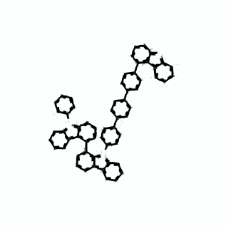 c1ccc(-n2c3ccccc3c3c(-c4cccc5c6ccccc6n(-c6ccc(-c7ccc(-c8ccc(-c9cccc%10sc%11ccccc%11c9%10)cc8)cc7)cc6)c45)cccc32)cc1